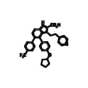 O=C(O)c1[nH]c2ccc(-c3ccc(C(F)(F)F)cc3)c(-c3ccc(OC4CCCC4)cc3)c2c1CCc1ccncc1